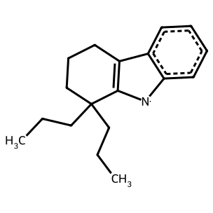 CCCC1(CCC)CCCC2=C1[N]c1ccccc12